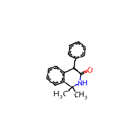 CC1(C)NC(=O)C(c2ccccc2)c2ccccc21